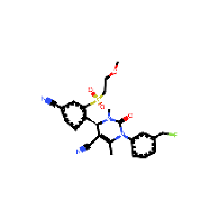 COCCS(=O)(=O)c1cc(C#N)ccc1[C@@H]1C(C#N)=C(C)N(c2cccc(CF)c2)C(=O)N1C